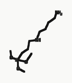 CO[Si](CCCNCCCCN)(OC)OC